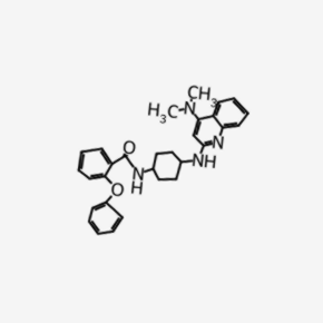 CN(C)c1cc(NC2CCC(NC(=O)c3ccccc3Oc3ccccc3)CC2)nc2ccccc12